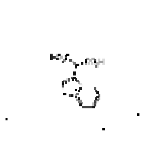 O=C(O)C(C(=O)O)C1=CCc2ccccc21